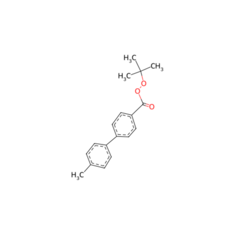 Cc1ccc(-c2ccc(C(=O)OOC(C)(C)C)cc2)cc1